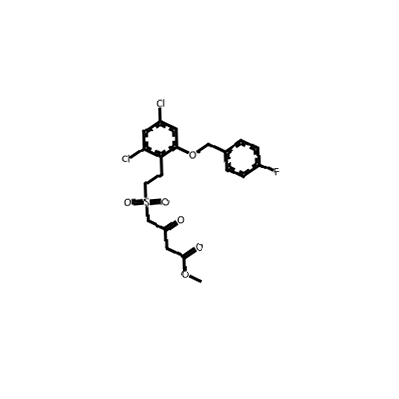 COC(=O)CC(=O)CS(=O)(=O)CCc1c(Cl)cc(Cl)cc1OCc1ccc(F)cc1